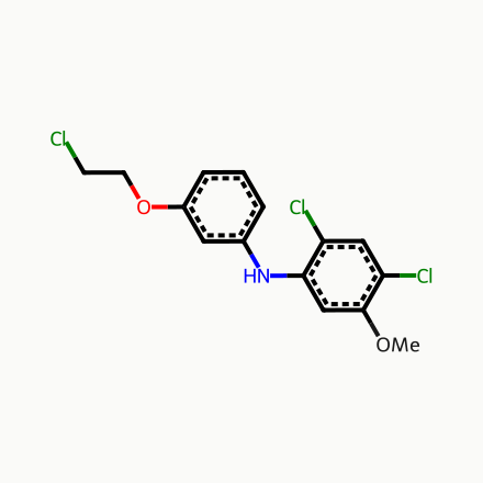 COc1cc(Nc2cccc(OCCCl)c2)c(Cl)cc1Cl